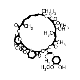 CO[C@@H]1C[C@H](CC(C)[C@@H]2CC(=O)C(C)/C=C(\C)[C@@H](O)[C@@H](OC)C(=O)[C@H](C)C[C@H](C)/C=C/C=C/C=C(\C)C(=O)C[C@@H]3CC[C@@H](C)[C@@](O)(O3)C(=O)C(=O)N3CCCC[C@H]3C(=O)O2)CC[C@@H]1O